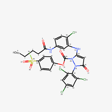 CCCCCCCCCCCCCC(=O)Nc1ccc(Cl)c(Nc2cc(=O)n(-c3c(Cl)cc(Cl)cc3Cl)n2C(=O)Oc2ccc(S(=O)(=O)F)cc2)c1